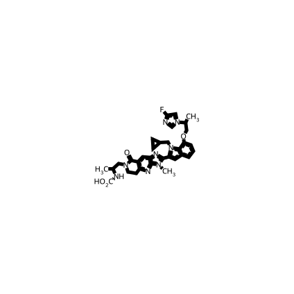 CC(CN1CCc2nc3c(cc2C1=O)nc(-c1cc2cccc(OCC(C)n4cnc(F)c4)c2n1CC1CC1)n3C)NC(=O)O